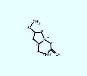 COC1CC2CNC(=O)CN2C1